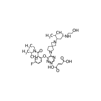 CCN(C(=O)c1cc(F)ccc1Oc1nncnc1N1CCC2(C1)CN(C(CCNCCO)C(C)C)C2)C(C)C.O=C(O)/C=C/C(=O)O